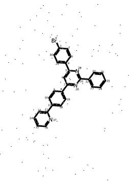 Brc1ccc(-c2cc(-c3ccc(-c4ccccn4)cc3)nc(-c3ccccc3)n2)cc1